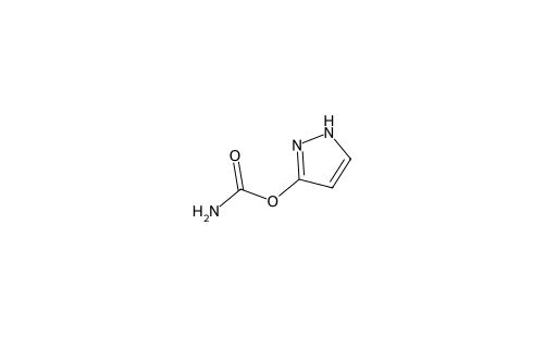 NC(=O)Oc1cc[nH]n1